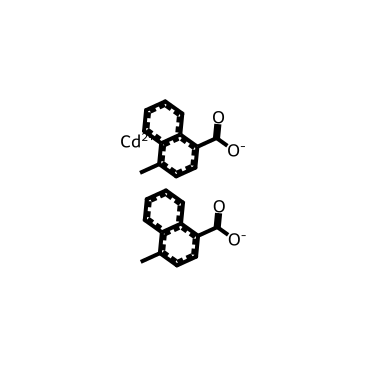 Cc1ccc(C(=O)[O-])c2ccccc12.Cc1ccc(C(=O)[O-])c2ccccc12.[Cd+2]